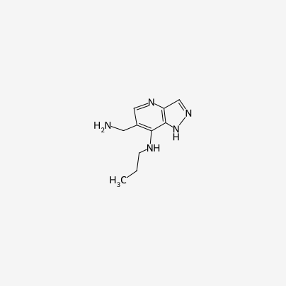 CCCNc1c(CN)cnc2cn[nH]c12